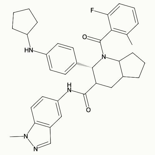 Cc1cccc(F)c1C(=O)N1C2CCCC2CC(C(=O)Nc2ccc3c(cnn3C)c2)[C@@H]1c1ccc(NC2CCCC2)cc1